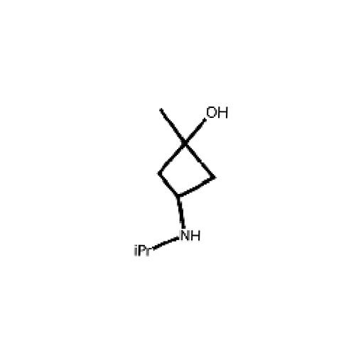 CC(C)NC1CC(C)(O)C1